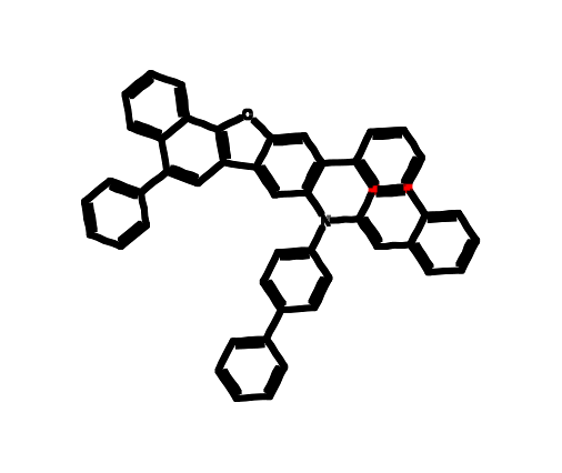 c1ccc(-c2ccc(N(c3ccc4ccccc4c3)c3cc4c(cc3-c3ccccc3)oc3c5ccccc5c(-c5ccccc5)cc43)cc2)cc1